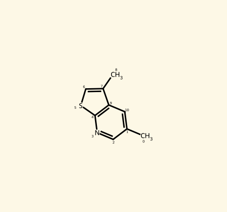 Cc1cnc2scc(C)c2c1